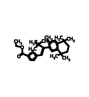 CCOC(=O)c1ccc(/C=C(/c2cc3c(cc2C)C(C)(C)CCC3(C)C)[Si](C)(C)C)s1